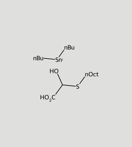 CCCCCCCCSC(O)C(=O)O.CCC[CH2][Sn][CH2]CCC